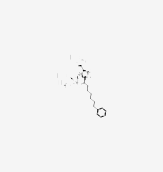 COC(=O)c1nc(C(CCCCCCc2ccccc2)O[Si](C)(C)C(C)(C)C)no1